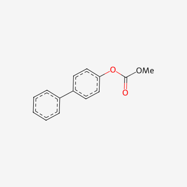 COC(=O)Oc1ccc(-c2ccccc2)cc1